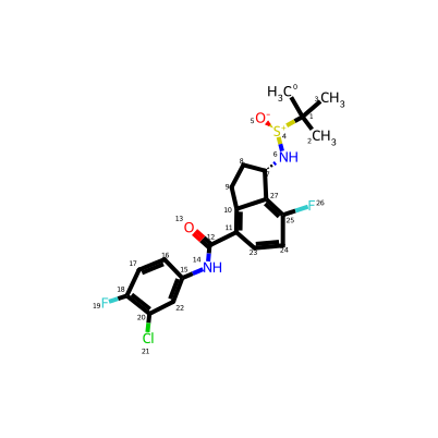 CC(C)(C)[S@+]([O-])N[C@H]1CCc2c(C(=O)Nc3ccc(F)c(Cl)c3)ccc(F)c21